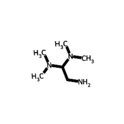 CN(C)C(CN)N(C)C